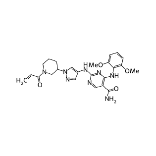 C=CC(=O)N1CCCC(n2cc(Nc3ncc(C(N)=O)c(Nc4c(OC)cccc4OC)n3)cn2)C1